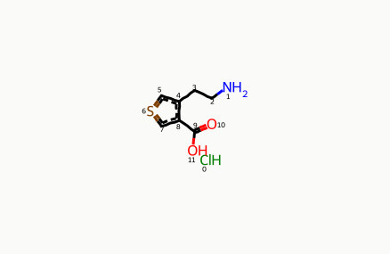 Cl.NCCc1cscc1C(=O)O